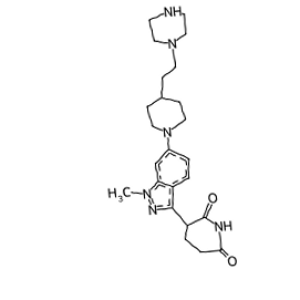 Cn1nc(C2CCC(=O)NC2=O)c2ccc(N3CCC(CCN4CCNCC4)CC3)cc21